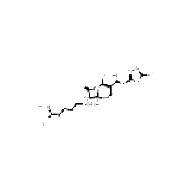 Cc1nnc(SCC2=C(C(=O)O)N3C(=O)[C@@H](NCCCCC(N)C(=O)O)[C@@H]3SC2)s1